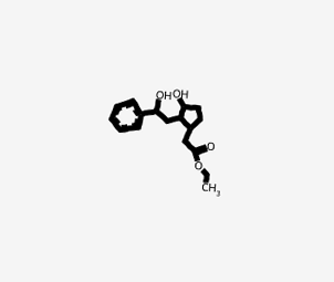 CCOC(=O)CC1CCC(O)C1CC(O)c1ccccc1